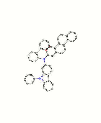 c1ccc(-c2ccccc2N(c2ccc3c(ccc4c5ccccc5ccc34)c2)c2ccc3c4ccccc4n(-c4ccccc4)c3c2)cc1